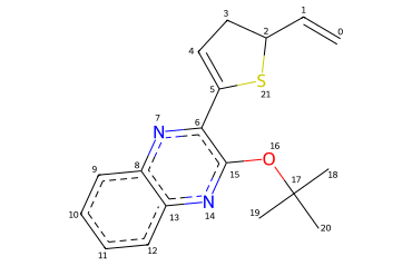 C=CC1CC=C(c2nc3ccccc3nc2OC(C)(C)C)S1